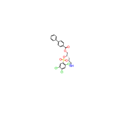 N=CCC[C@@H](COC(=O)c1ccc(-c2ccccc2)cc1)OS(=O)(=O)c1cc(Cl)c(Cl)cc1Cl